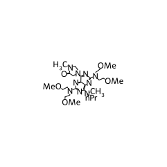 CCCN(C)c1nc(N(CCOC)CCOC)nc2c(N3CCN(C)C(=O)C3)nc(N(CCOC)CCOC)nc12